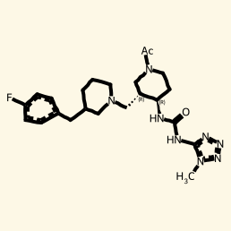 CC(=O)N1CC[C@@H](NC(=O)Nc2nnnn2C)[C@H](CN2CCCC(Cc3ccc(F)cc3)C2)C1